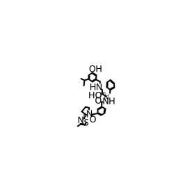 Cc1csc([C@H]2CCCN2C(=O)c2cccc(C(=O)N[C@@H](Cc3ccccc3)[C@H](O)CNCc3cc(O)cc(C(C)C)c3)c2)n1